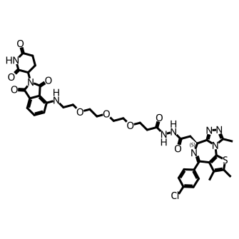 Cc1sc2c(c1C)C(c1ccc(Cl)cc1)=N[C@@H](CC(=O)NNC(=O)CCOCCOCCOCCNc1cccc3c1C(=O)N(C1CCC(=O)NC1=O)C3=O)c1nnc(C)n1-2